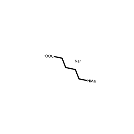 CNCCCCC(=O)[O-].[Na+]